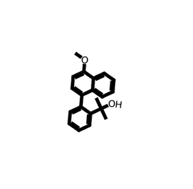 COc1ccc(-c2ccccc2C(C)(C)O)c2ccccc12